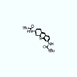 CC(C)(C)C(=O)Nc1ccc2cc3ccc(NC(=O)C(C)(C)C)cc3nc2c1